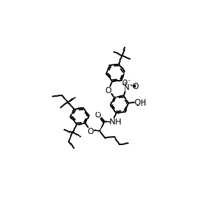 CCCCC(Oc1ccc(C(C)(C)CC)cc1C(C)(C)CC)C(=O)Nc1cc(O)c([N+](=O)[O-])c(Oc2ccc(C(C)(C)C)cc2)c1